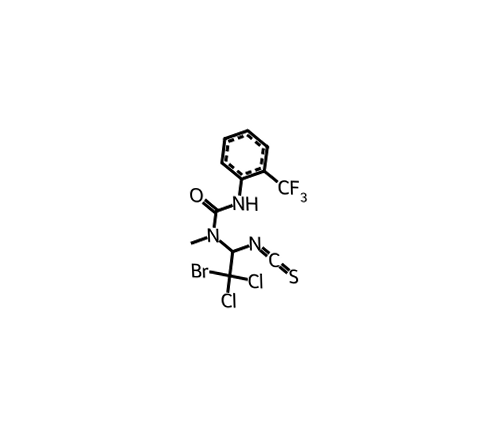 CN(C(=O)Nc1ccccc1C(F)(F)F)C(N=C=S)C(Cl)(Cl)Br